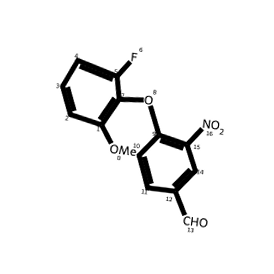 COc1cccc(F)c1Oc1ccc(C=O)cc1[N+](=O)[O-]